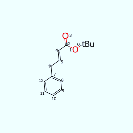 CC(C)(C)OC(=O)C=CCc1ccccc1